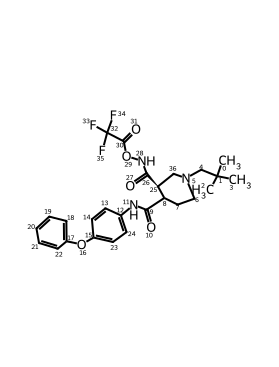 CC(C)(C)CN1CCC(C(=O)Nc2ccc(Oc3ccccc3)cc2)[C@@H](C(=O)NOC(=O)C(F)(F)F)C1